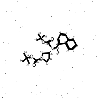 C[C@H](c1cccc2ccccc12)N(C(=O)OC(C)(C)C)[C@@H]1CCN(C(=O)OC(C)(C)C)C1